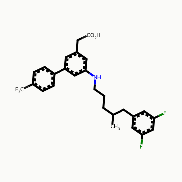 CC(CCCNc1cc(CC(=O)O)cc(-c2ccc(C(F)(F)F)cc2)c1)Cc1cc(F)cc(F)c1